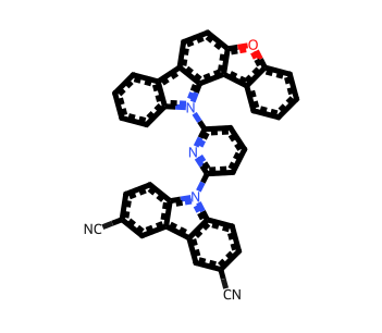 N#Cc1ccc2c(c1)c1cc(C#N)ccc1n2-c1cccc(-n2c3ccccc3c3ccc4oc5ccccc5c4c32)n1